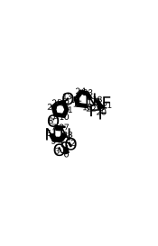 CS(=O)(=O)c1cnc(O[C@H]2CC[C@H](OC3CCN(CC(F)(F)F)CC3)CC2)cn1